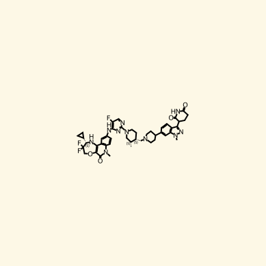 C[C@@H]1CN(c2ncc(F)c(Nc3ccc4c(c3)c3c(c(=O)n4C)OCC(F)(F)[C@H](C4CC4)N3)n2)CC[C@@H]1CN1CCC(c2ccc3c(C4CCC(=O)NC4=O)nn(C)c3c2)CC1